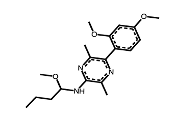 CCCC(Nc1nc(C)c(-c2ccc(OC)cc2OC)nc1C)OC